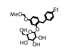 CCc1ccc(Cc2ccc(OCOC)cc2O[C@@H]2O[C@H](CO)[C@@H](O)[C@H](O)[C@H]2O)cc1